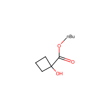 CCCCOC(=O)C1(O)CCC1